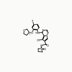 O=C(N=S1(=O)CCC1)c1cn2ncnc(Nc3ccc(F)cc3O[C@H]3CCOC3)c2c1Cl